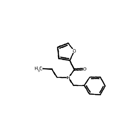 CCCN(Cc1ccccc1)C(=O)c1ccco1